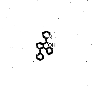 CC(c1ccccn1)c1cccc(-c2ccccc2)c1-c1ccccc1O